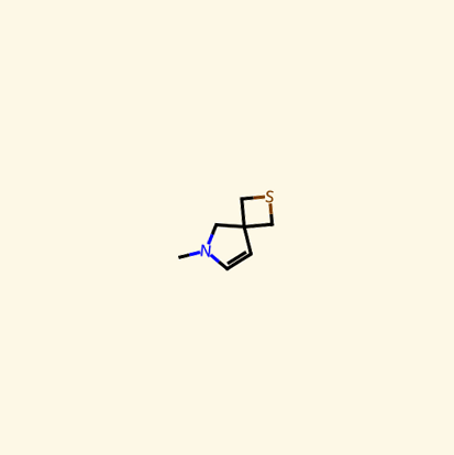 CN1C=CC2(CSC2)C1